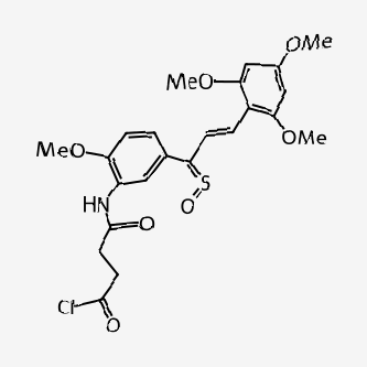 COc1cc(OC)c(C=CC(=S=O)c2ccc(OC)c(NC(=O)CCC(=O)Cl)c2)c(OC)c1